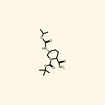 CC(C)OC(=O)N[C@@H]1CCC(C(N)=S)N(C(=O)OC(C)(C)C)C1